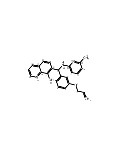 C=CCOc1cccc(C(Nc2cccc(C)n2)c2ccc3cccnc3c2O)c1